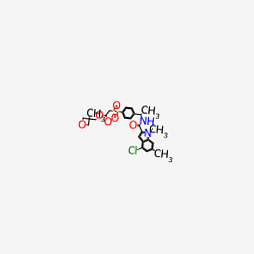 Cc1cc(Cl)c2cc(C(=O)N[C@H](C)c3ccc(S(=O)(=O)CC(=O)OCC4(C)COC4)cc3)n(C)c2c1